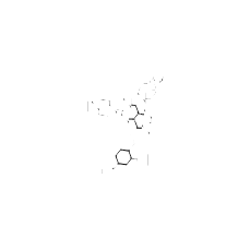 [O-][S+]1CCN(c2nc(N3CCNCC3)nc3c(SCc4ccc(Cl)cc4Cl)ncnc23)CC1